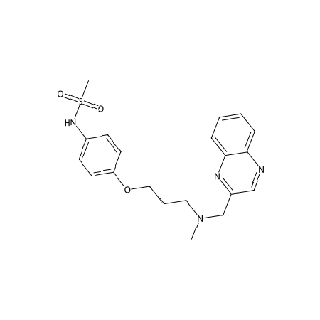 CN(CCCOc1ccc(NS(C)(=O)=O)cc1)Cc1cnc2ccccc2n1